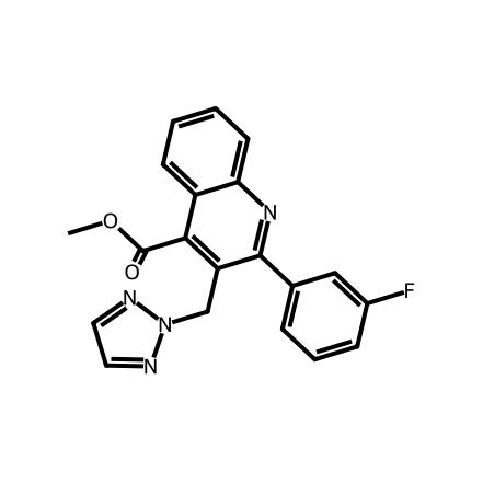 COC(=O)c1c(Cn2nccn2)c(-c2cccc(F)c2)nc2ccccc12